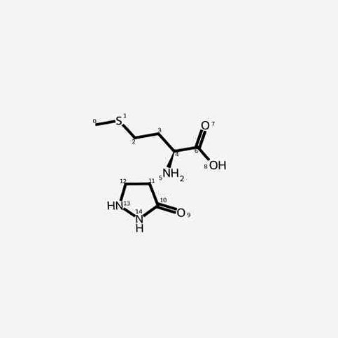 CSCC[C@H](N)C(=O)O.O=C1CCNN1